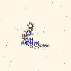 COc1ccc(C(=O)Nc2n[nH]c3c2CN(C(=O)N2C[C@@H](C)N(CC4CCOCC4)C[C@@H]2C)C3(C)C)nc1